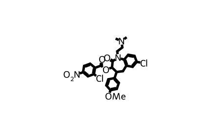 COc1ccc(C2Cc3cc(Cl)ccc3N(CCN(C)C)C(=O)C2OC(=O)c2ccc([N+](=O)[O-])cc2Cl)cc1